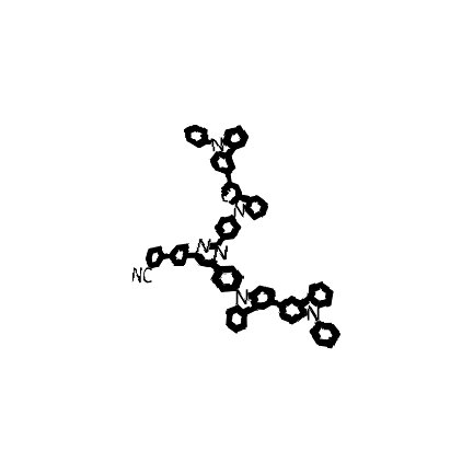 N#Cc1cccc(-c2ccc(-c3cc(-c4ccc(-n5c6ccccc6c6cc(-c7ccc8c(c7)c7ccccc7n8-c7ccccc7)ccc65)cc4)nc(-c4ccc(-n5c6ccccc6c6cc(-c7ccc8c(c7)c7ccccc7n8-c7ccccc7)ccc65)cc4)n3)cc2)c1